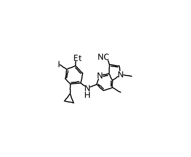 CCc1cc(Nc2cc(C)c3c(n2)c(C#N)cn3C)c(C2CC2)cc1I